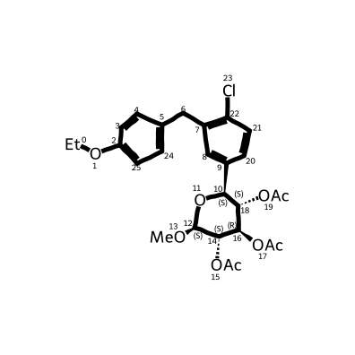 CCOc1ccc(Cc2cc([C@@H]3O[C@H](OC)[C@@H](OC(C)=O)[C@H](OC(C)=O)[C@H]3OC(C)=O)ccc2Cl)cc1